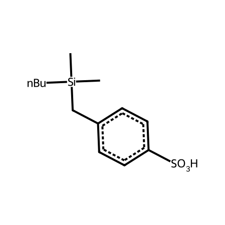 CCCC[Si](C)(C)Cc1ccc(S(=O)(=O)O)cc1